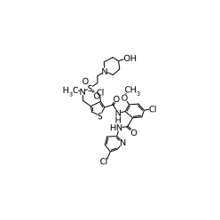 COc1cc(Cl)cc(C(=O)Nc2ccc(Cl)cn2)c1NC(=O)c1scc(CN(C)S(=O)(=O)CCN2CCC(O)CC2)c1Cl